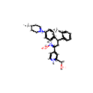 Cc1ccccc1C(CC(=NO)c1ccnc(CO)c1)c1ccc(N2CCC(C(=O)O)CC2)cc1